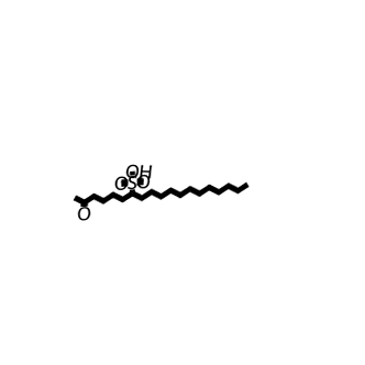 CCCCCCCCCCCCC(CCCCC(C)=O)S(=O)(=O)O